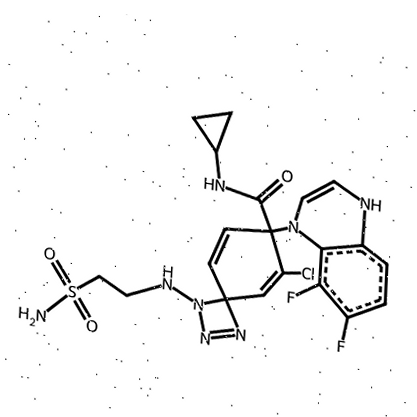 NS(=O)(=O)CCNN1N=NC12C=CC(C(=O)NC1CC1)(N1C=CNc3ccc(F)c(F)c31)C(Cl)=C2